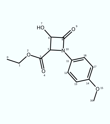 CCOC(=O)C1C(O)C(=O)N1c1ccc(OC)cc1